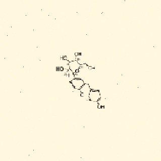 [2H][C@@]1(c2ccc(Cl)c(Cc3ccc(O)cc3)c2)O[C@H](CO)[C@@H](O)[C@H](O)[C@H]1O